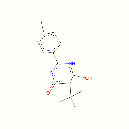 Cc1ccc(-c2nc(=O)c(C(F)(F)F)c(O)[nH]2)nc1